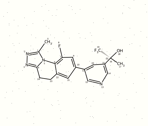 Cc1nnc2n1-c1c(F)cc(-c3cncc([C@](C)(O)C(F)(F)F)c3)cc1CC2